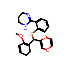 COC1=C(C(Sc2ccccc2C2=NCCCN2)C2=COC=CO2)CCC=C1